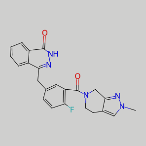 Cn1cc2c(n1)CN(C(=O)c1cc(Cc3n[nH]c(=O)c4ccccc34)ccc1F)CC2